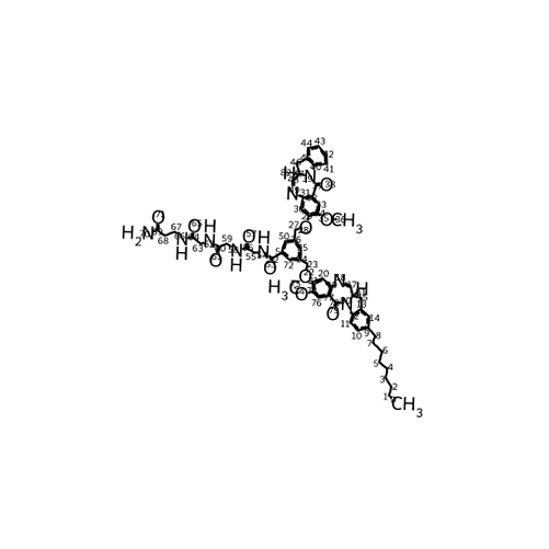 CCCCCCCCCc1ccc2c(c1)C[C@H]1C=Nc3cc(OCc4cc(COc5cc6c(cc5OC)C(=O)N5c7ccccc7C[C@H]5C=N6)cc(C(=O)NCC(=O)NCC(=O)NCC(=O)NCCC(N)=O)c4)c(OC)cc3C(=O)N21